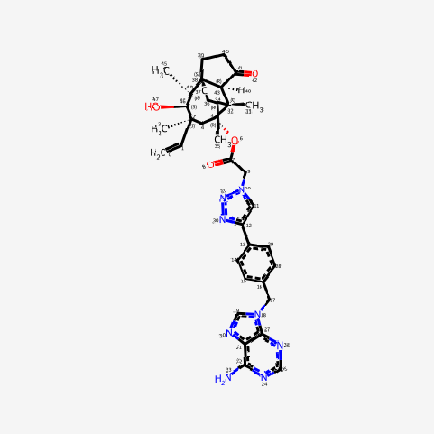 C=C[C@]1(C)C[C@@H](OC(=O)Cn2cc(-c3ccc(Cn4cnc5c(N)ncnc54)cc3)nn2)[C@]2(C)[C@H](C)CC[C@]3(CCC(=O)[C@H]32)[C@@H](C)[C@@H]1O